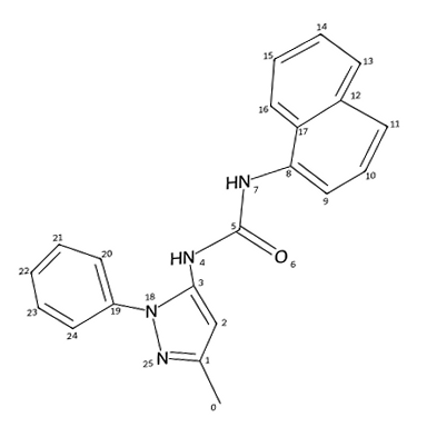 Cc1cc(NC(=O)Nc2cccc3ccccc23)n(-c2ccccc2)n1